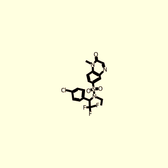 CCN(C(c1ccc(Cl)cc1)C(F)(F)F)S(=O)(=O)c1ccc2c(c1)ncc(=O)n2C